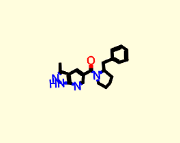 Cc1n[nH]c2ncc(C(=O)N3CCCCC3Cc3ccccc3)cc12